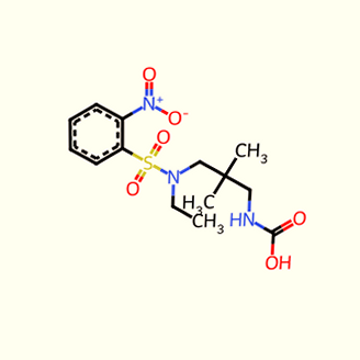 CCN(CC(C)(C)CNC(=O)O)S(=O)(=O)c1ccccc1[N+](=O)[O-]